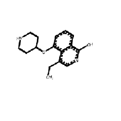 CCc1cnc(O)c2cccc(OC3CCNCC3)c12